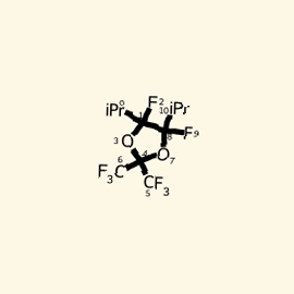 CC(C)C1(F)OC(C(F)(F)F)(C(F)(F)F)OC1(F)C(C)C